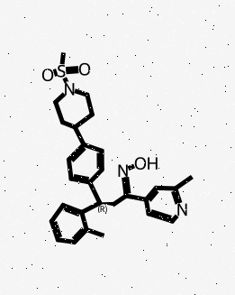 Cc1cc(C(C[C@H](c2ccc(C3CCN(S(C)(=O)=O)CC3)cc2)c2ccccc2C)=NO)ccn1